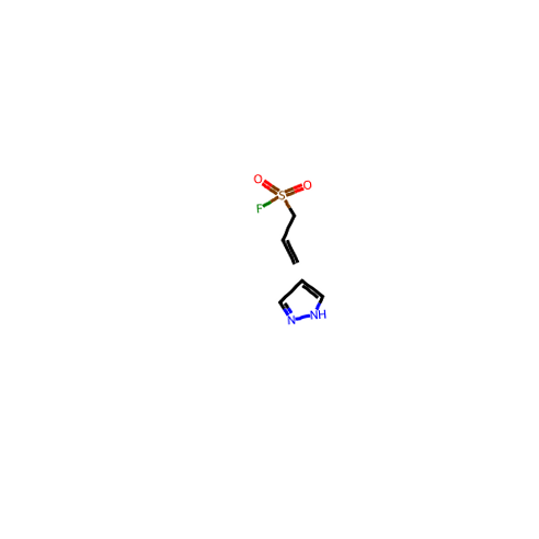 C=CCS(=O)(=O)F.c1cn[nH]c1